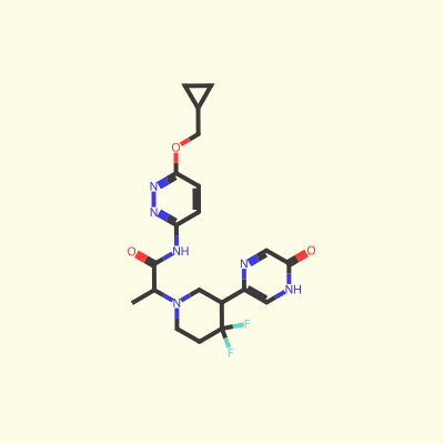 CC(C(=O)Nc1ccc(OCC2CC2)nn1)N1CCC(F)(F)C(c2c[nH]c(=O)cn2)C1